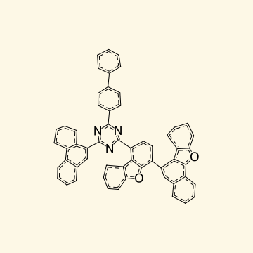 c1ccc(-c2ccc(-c3nc(-c4cc5ccccc5c5ccccc45)nc(-c4ccc(-c5cc6ccccc6c6oc7ccccc7c56)c5oc6ccccc6c45)n3)cc2)cc1